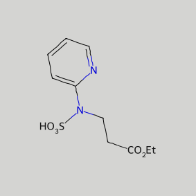 CCOC(=O)CCN(c1ccccn1)S(=O)(=O)O